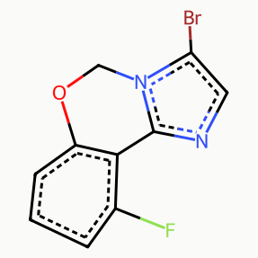 Fc1cccc2c1-c1ncc(Br)n1CO2